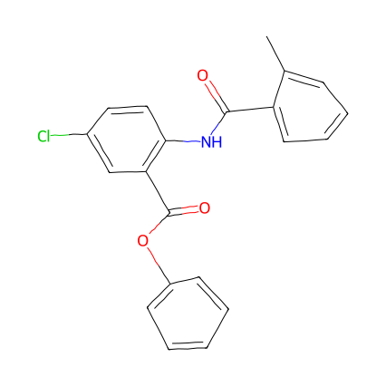 Cc1ccccc1C(=O)Nc1ccc(Cl)cc1C(=O)Oc1ccccc1